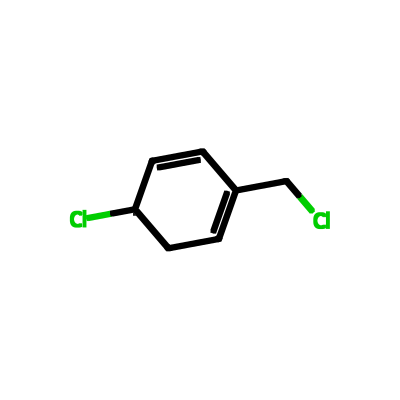 ClCC1=CC[C](Cl)C=C1